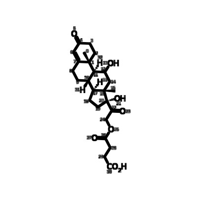 C[C@]12CCC(=O)C=C1CC[C@@H]1[C@@H]2C(O)C[C@@]2(C)[C@H]1CC[C@]2(O)C(=O)COC(=O)CCC(=O)O